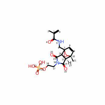 C=C(C)C(=O)NCC12C=C[C@@](C)(O1)[C@H]1C(=O)N(CCOP(=O)(O)O)C(=O)C12